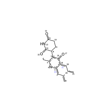 C=C/C=c1/nc(C)n(C2CCC(=O)NC2=O)c(=O)/c1=C/C=C